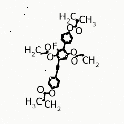 C=CC(=O)Oc1cc(C#Cc2ccc(OC(=O)C(=C)C)cc2)c(OC(=O)C=C)c(F)c1-c1ccc(OC(=O)C(=C)C)cc1